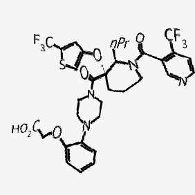 CCC[C@H]1N(C(=O)c2cnccc2C(F)(F)F)CCC[C@@]1(Oc1csc(C(F)(F)F)c1)C(=O)N1CCN(c2ccccc2OCC(=O)O)CC1